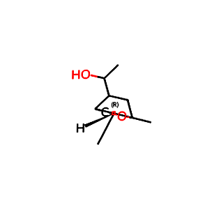 CC(O)C1CC2(C)C[C@@H](C)C1CO2